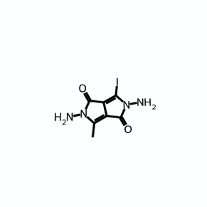 CC1=C2C(=O)N(N)C(I)=C2C(=O)N1N